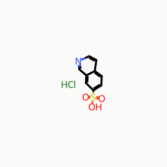 Cl.O=S(=O)(O)c1ccc2ccncc2c1